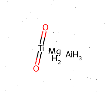 [AlH3].[MgH2].[O]=[Ti]=[O]